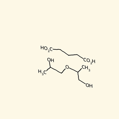 CC(O)COC(C)CO.O=C(O)CCCC(=O)O